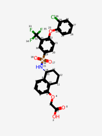 O=C(O)COc1cccc2c1CCC[C@H]2NS(=O)(=O)c1ccc(Oc2ccccc2Cl)c(C(F)(F)F)c1